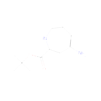 CC(C)(C)OC(=O)C1CC(N)CCCN1